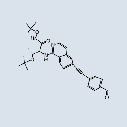 C[C@@H](OC(C)(C)C)[C@H](Nc1nccc2cc(C#Cc3ccc(C=O)cc3)ccc12)C(=O)NOC(C)(C)C